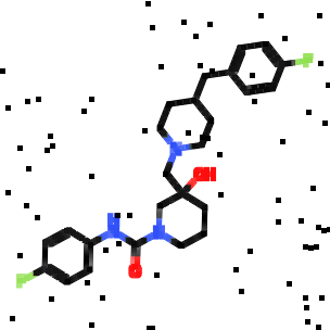 O=C(Nc1ccc(F)cc1)N1CCCC(O)(CN2CCC(Cc3ccc(F)cc3)CC2)C1